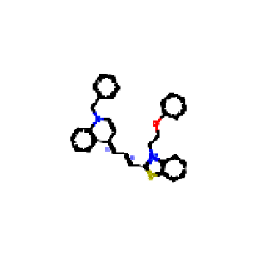 C1=CN(Cc2ccccc2)c2ccccc2/C1=C/C=C/c1sc2ccccc2[n+]1CCOc1ccccc1